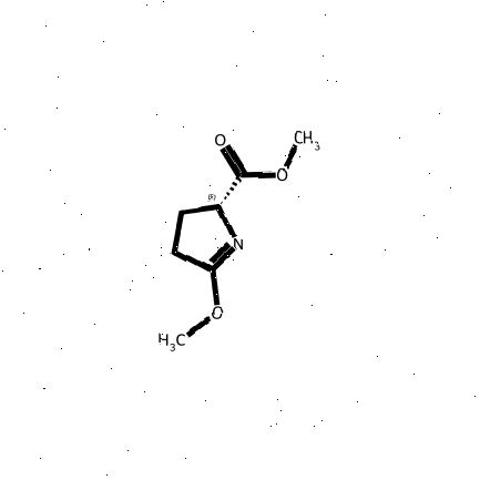 COC(=O)[C@H]1CCC(OC)=N1